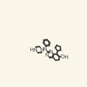 OC1=C(C2CCCC2)c2nc(N(c3ccccc3)N3CCNCC3)ncc2CC1